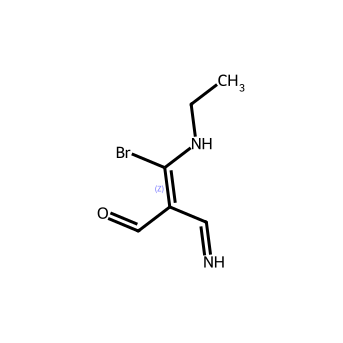 CCN/C(Br)=C(\C=N)C=O